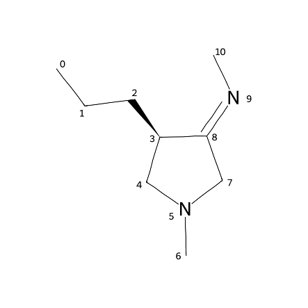 CCC[C@@H]1CN(C)C/C1=N/C